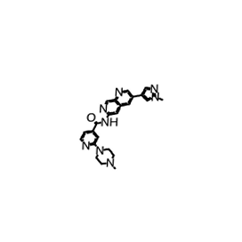 CN1CCN(c2cc(C(=O)Nc3cc4cc(-c5cnn(C)c5)cnc4cn3)ccn2)CC1